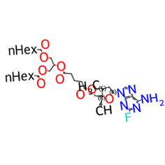 C#C[C@]1(COC(=O)CCCC(=O)OC(COC(=O)CCCCCC)COC(=O)CCCCCC)O[C@@H](n2cnc3c(N)nc(F)nc32)C[C@@H]1C